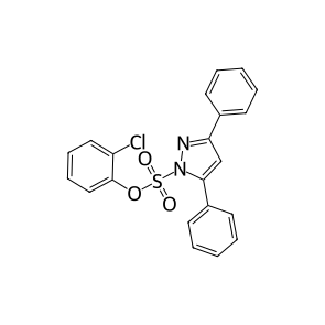 O=S(=O)(Oc1ccccc1Cl)n1nc(-c2ccccc2)cc1-c1ccccc1